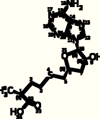 C[C@@H](CCSC[C@@H]1C[C@@H](O)[C@H](n2cnc3c(N)ncnc32)O1)C(=O)O